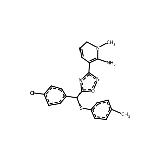 Cc1ccc(SC(c2ccc(Cl)cc2)c2nc(C3=C(N)N(C)CC=C3)no2)cc1